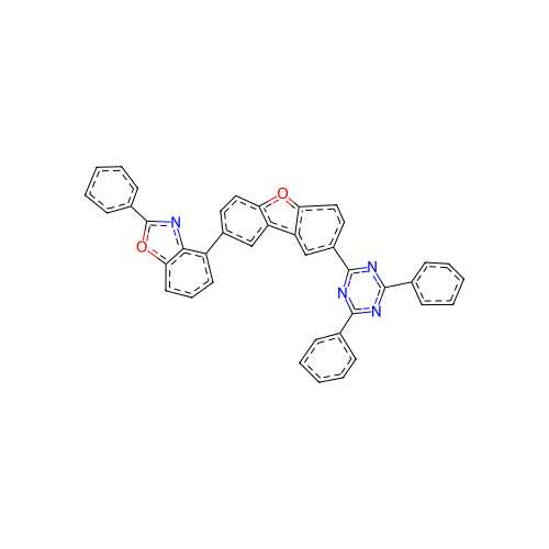 c1ccc(-c2nc(-c3ccccc3)nc(-c3ccc4oc5ccc(-c6cccc7oc(-c8ccccc8)nc67)cc5c4c3)n2)cc1